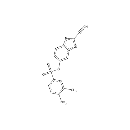 C#Cc1nc2ccc(OS(=O)(=O)c3ccc([N+](=O)[O-])c(C)c3)cc2s1